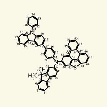 CC1(C)c2ccccc2-c2ccc(N(c3ccc(-c4ccc5c(c4)c4ccccc4n5-c4ccccc4)cc3)c3cc4sc5cccc6c7ccccc7c(c3)c4c56)cc21